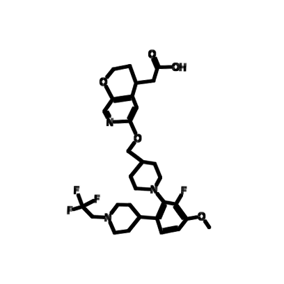 COc1ccc(C2CCN(CC(F)(F)F)CC2)c(N2CCC(COc3cc4c(cn3)OCCC4CC(=O)O)CC2)c1F